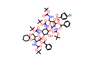 CC(C)(C)OC(=O)NCC1O[C@H](OC2C(NC(=O)OC(C)(C)C)C[C@@H](NC(=O)OC(C)(C)C)C(O[C@@H]3OC4COC5(CCCCC5)OC4[C@H](NC(=O)OC(C)(C)C)[C@@H]3OC(=O)c3ccccc3)[C@H]2O)[C@@H](NC(=O)OC(C)(C)C)C(OC(=O)c2ccccc2)[C@@H]1OS(=O)(=O)c1ccc(Br)cc1